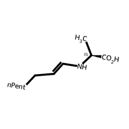 CCCCCCC=CN[C@@H](C)C(=O)O